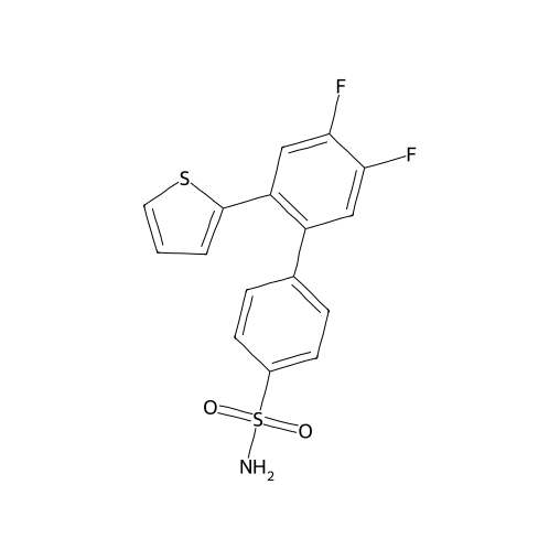 NS(=O)(=O)c1ccc(-c2cc(F)c(F)cc2-c2cccs2)cc1